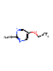 CNc1ncc(OCC(F)(F)F)cn1